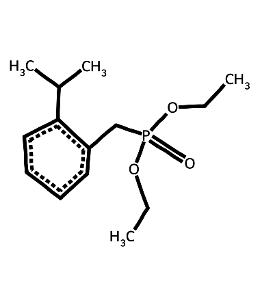 CCOP(=O)(Cc1ccccc1C(C)C)OCC